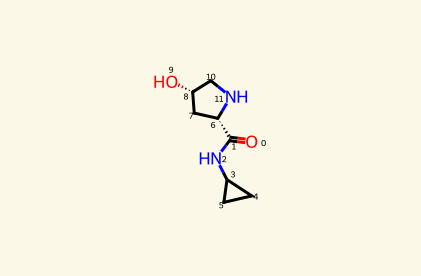 O=C(NC1CC1)[C@@H]1C[C@H](O)CN1